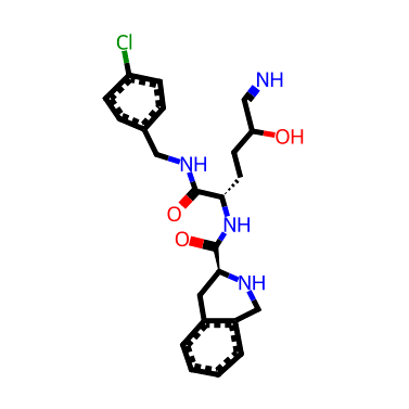 N=CC(O)CC[C@H](NC(=O)[C@@H]1Cc2ccccc2CN1)C(=O)NCc1ccc(Cl)cc1